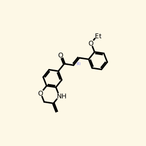 C=C1COc2ccc(C(=O)/C=C/c3ccccc3OCC)cc2N1